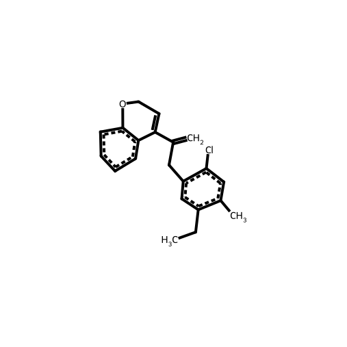 C=C(Cc1cc(CC)c(C)cc1Cl)C1=CCOc2ccccc21